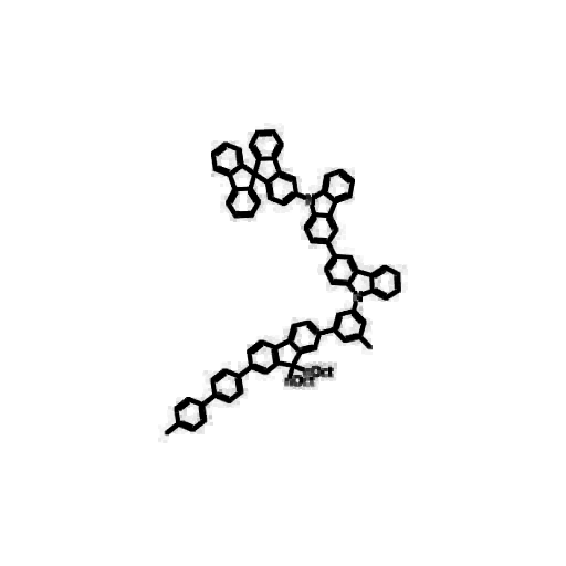 CCCCCCCCC1(CCCCCCCC)c2cc(-c3ccc(-c4ccc(C)cc4)cc3)ccc2-c2ccc(-c3cc(C)cc(-n4c5ccccc5c5cc(-c6ccc7c(c6)c6ccccc6n7-c6ccc7c(c6)-c6ccccc6C76c7ccccc7-c7ccccc76)ccc54)c3)cc21